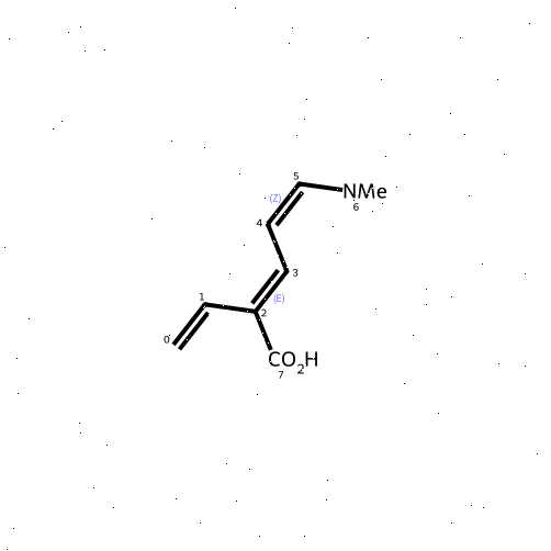 C=C/C(=C\C=C/NC)C(=O)O